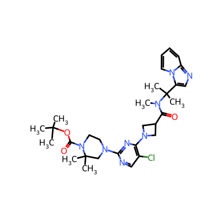 CN(C(=O)C1CN(c2nc(N3CCN(C(=O)OC(C)(C)C)C(C)(C)C3)ncc2Cl)C1)C(C)(C)c1cnc2ccccn12